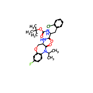 CC(C)N1C(=O)[C@H](NC(=O)C(Cc2ccccc2Cl)NC(=O)OC(C)(C)C)COc2cc(F)ccc21